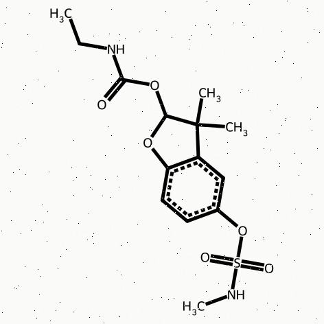 CCNC(=O)OC1Oc2ccc(OS(=O)(=O)NC)cc2C1(C)C